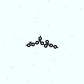 Cc1ccc(-c2ccc(-n3c4ccccc4c4c(-c5ccc(N(c6ccc(C)cc6)c6ccc(-c7ccc8c(c7)C(C)(C)c7cc(C)ccc7-8)cc6)cc5)cccc43)cc2)cc1